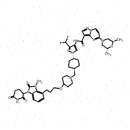 C[C@@H]1CN(c2ccn3ncc(C(=O)Nc4cn([C@H]5CC[C@H](CN6CCC(OCCCc7cccc8c7n(C)c(=O)n8C7CCC(=O)NC7=O)CC6)CC5)nc4C(F)F)c3n2)C[C@@H](C)O1